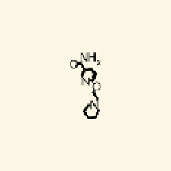 NC(=O)c1ccc(OCCN2CCCCC2)nc1